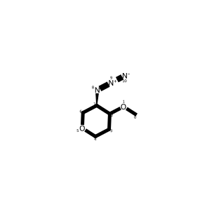 COC1CCOC[C@H]1N=[N+]=[N-]